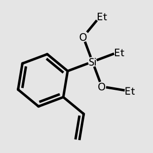 C=Cc1ccccc1[Si](CC)(OCC)OCC